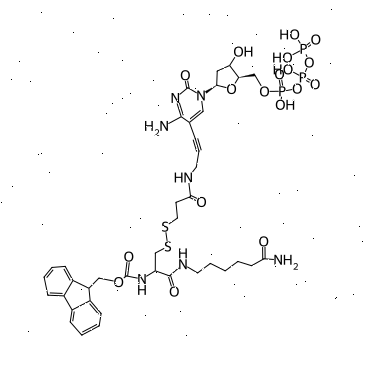 NC(=O)CCCCCNC(=O)C(CSSCCC(=O)NCC#Cc1cn([C@H]2CC(O)[C@@H](COP(=O)(O)OP(=O)(O)OP(=O)(O)O)O2)c(=O)nc1N)NC(=O)OCC1c2ccccc2-c2ccccc21